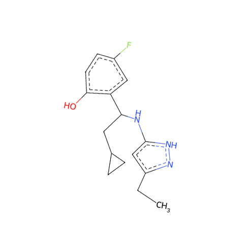 CCc1cc(NC(CC2CC2)c2cc(F)ccc2O)[nH]n1